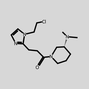 CN(C)[C@@H]1CCCN(C(=O)CCc2nccn2CCCl)C1